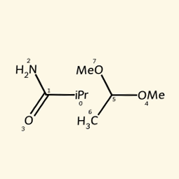 CC(C)C(N)=O.COC(C)OC